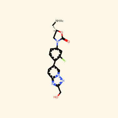 CC(=O)NC[C@H]1CN(c2ccc(-c3ccc4nc(CO)nn4c3)c(F)c2)C(=O)O1